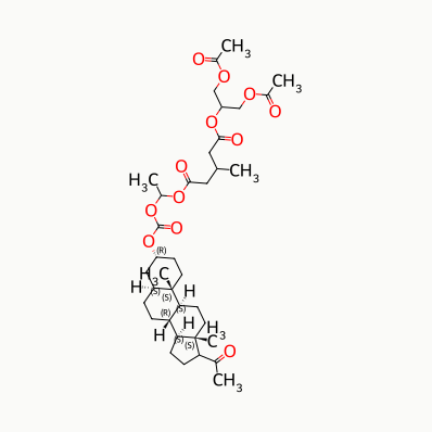 CC(=O)OCC(COC(C)=O)OC(=O)CC(C)CC(=O)OC(C)OC(=O)O[C@@H]1CC[C@@]2(C)[C@@H](CC[C@@H]3[C@@H]2CC[C@]2(C)C(C(C)=O)CC[C@@H]32)C1